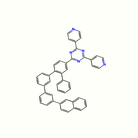 c1ccc(-c2cc(-c3nc(-c4ccncc4)nc(-c4ccncc4)n3)ccc2-c2cccc(-c3cccc(-c4ccc5ccccc5c4)c3)c2)cc1